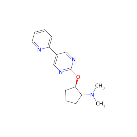 CN(C)C1CCC[C@H]1Oc1ncc(-c2ccccn2)cn1